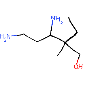 CCC(C)(CO)C(N)CCN